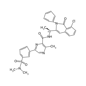 Cc1ncc(-c2cccc(S(=O)(=O)N(C)C)c2)nc1C(=O)N[C@@H](C)c1cc2cccc(Cl)c2c(=O)n1-c1ccccc1